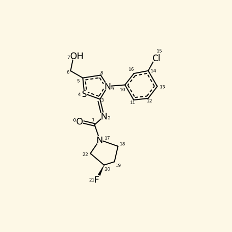 O=C(/N=c1\sc(CO)cn1-c1cccc(Cl)c1)N1CC[C@@H](F)C1